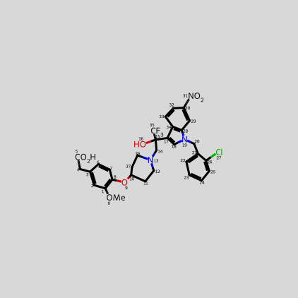 COc1cc(CC(=O)O)ccc1OC1CCN(CC(O)(c2cn(Cc3ccccc3Cl)c3cc([N+](=O)[O-])ccc23)C(F)(F)F)CC1